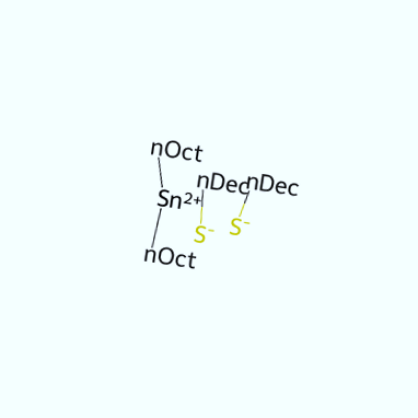 CCCCCCCCCC[S-].CCCCCCCCCC[S-].CCCCCCC[CH2][Sn+2][CH2]CCCCCCC